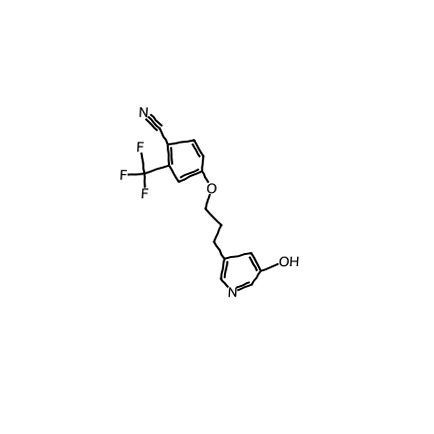 N#Cc1ccc(OCCCc2cncc(O)c2)cc1C(F)(F)F